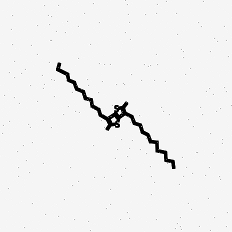 CCCCCCCCCCCCc1c(C)sc2c(CCCCCCCCCCCC)c(C)sc12